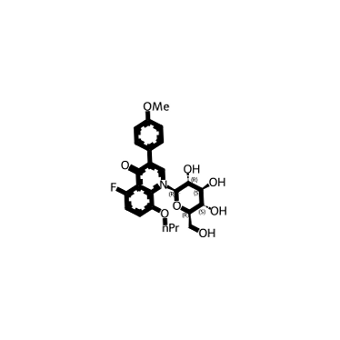 CCCOc1ccc(F)c2c(=O)c(-c3ccc(OC)cc3)cn([C@@H]3O[C@H](CO)[C@@H](O)[C@H](O)[C@H]3O)c12